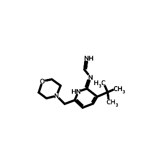 CC(C)(C)c1ccc(CN2CCOCC2)[nH]/c1=N\C=N